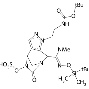 CN/C(=N\O[Si](C)(C)C(C)(C)C)C1c2c(cnn2CCNC(=O)OC(C)(C)C)C2CN1C(=O)N2OS(=O)(=O)O